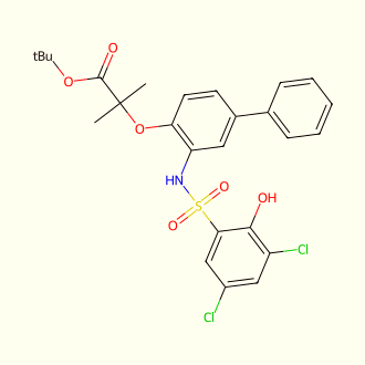 CC(C)(C)OC(=O)C(C)(C)Oc1ccc(-c2ccccc2)cc1NS(=O)(=O)c1cc(Cl)cc(Cl)c1O